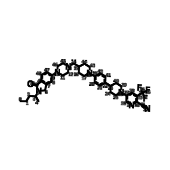 CCCC(C)N1Cc2cc(N3CCN(CC4CCN(c5ccc(C6CCN(c7cnc(C#N)c(C(F)(F)F)c7)CC6)cc5)CC4)CC3)ccc2C1=O